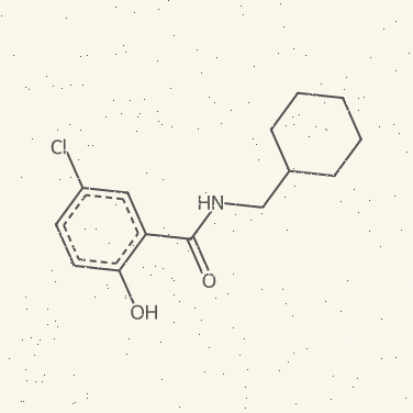 O=C(NCC1CCCCC1)c1cc(Cl)ccc1O